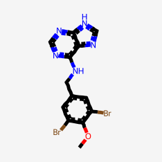 COc1c(Br)cc(CNc2ncnc3[nH]cnc23)cc1Br